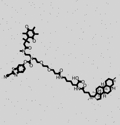 CC1=C(C)C(=O)C(C(C)(C)CC(=O)N(C)CCN(CCOCCOCCC(=O)NCCCCC(NC(=O)CC[C@@H](C)[C@H]2CC[C@H]3[C@@H]4CC[C@@H]5C[C@H](C)CC[C@]5(C)[C@H]4CC[C@]23C)C(=O)O)C(=O)Oc2ccc3nc(C#N)sc3c2)=C(C)C1=O